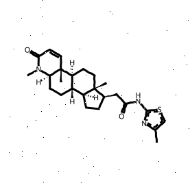 Cc1csc(NC(=O)C[C@H]2CC[C@H]3[C@@H]4CC[C@H]5N(C)C(=O)C=C[C@]5(C)[C@H]4CC[C@]23C)n1